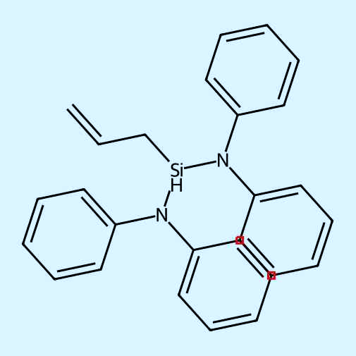 C=CC[SiH](N(c1ccccc1)c1ccccc1)N(c1ccccc1)c1ccccc1